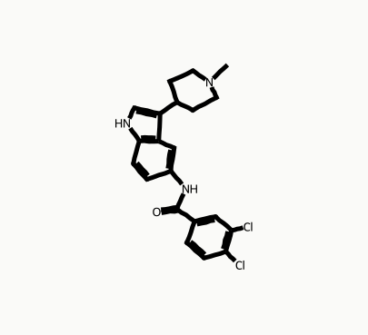 CN1CCC(c2c[nH]c3ccc(NC(=O)c4ccc(Cl)c(Cl)c4)cc23)CC1